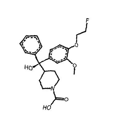 COc1cc([C@@](O)(c2ccccc2)C2CCN(C(=O)O)CC2)ccc1OCCF